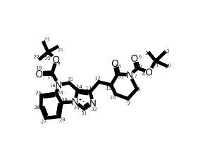 CC(C)(C)OC(=O)N1CCCC(CC2=C3CN(C(=O)OC(C)(C)C)c4ccccc4[N+]3C=N2)C1=O